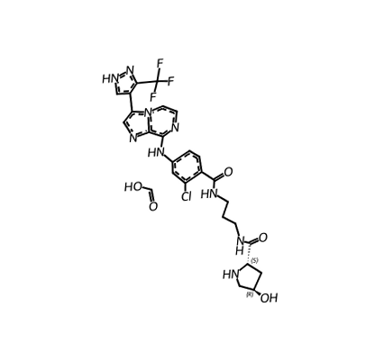 O=C(NCCCNC(=O)[C@@H]1C[C@@H](O)CN1)c1ccc(Nc2nccn3c(-c4c[nH]nc4C(F)(F)F)cnc23)cc1Cl.O=CO